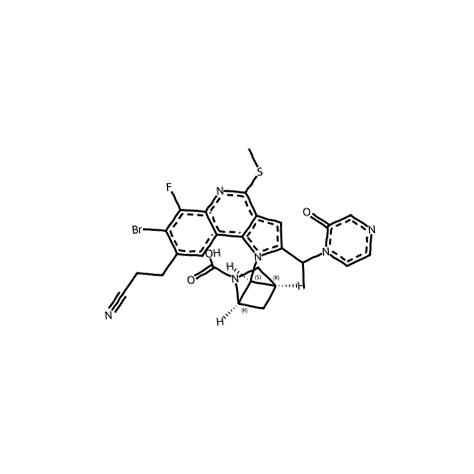 CSc1nc2c(F)c(Br)c(CCC#N)cc2c2c1cc(C(C)n1ccncc1=O)n2[C@H]1[C@@H]2C[C@H]1N(C(=O)O)C2